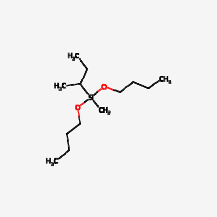 CCCCO[Si](C)(OCCCC)C(C)CC